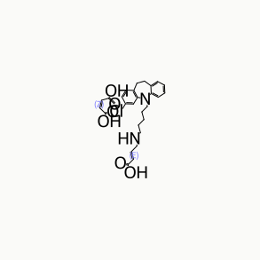 O=C(O)/C=C/CNCCCCCN1c2ccccc2CCc2ccc(Cl)cc21.O=C(O)/C=C\C(=O)O